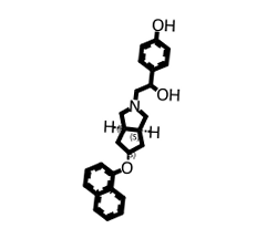 Oc1ccc(C(O)CN2C[C@H]3C[C@H](Oc4cccc5ccccc45)C[C@H]3C2)cc1